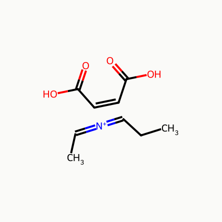 CC=[N+]=CCC.O=C(O)/C=C\C(=O)O